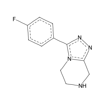 Fc1ccc(-c2nnc3n2CCNC3)cc1